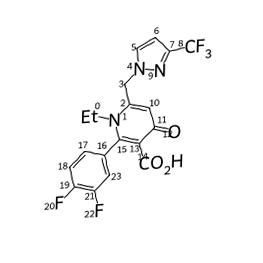 CCn1c(Cn2ccc(C(F)(F)F)n2)cc(=O)c(C(=O)O)c1-c1ccc(F)c(F)c1